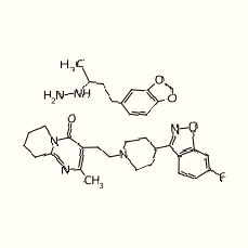 CC(CCc1ccc2c(c1)OCO2)NN.Cc1nc2n(c(=O)c1CCN1CCC(c3noc4cc(F)ccc34)CC1)CCCC2